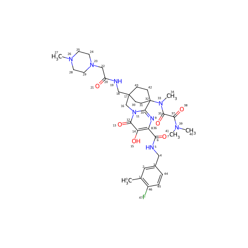 Cc1cc(CNC(=O)c2nc3n(c(=O)c2O)CC2(CNC(=O)CN4CCN(C)CC4)CCC3(N(C)C(=O)C(=O)N(C)C)CC2)ccc1F